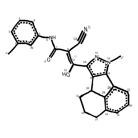 Cc1cccc(NC(=O)/C(C#N)=C(\O)c2nn(C)c3c2C2CCCc4cccc-3c42)c1